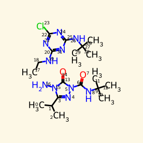 CC(C)c1nn(C(=O)NC(C)(C)C)c(=O)n1N.CCNc1nc(Cl)nc(NC(C)(C)C)n1